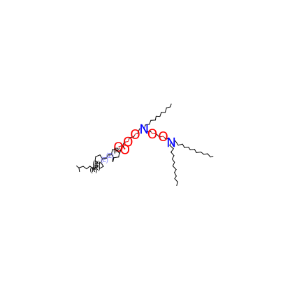 C=C1CC[C@@H](OC(=O)COCCOCCN(CCCCCCCCCCC)CCOCCOCCN(CCCCCCCCCCCCC)CCCCCCCCCCCCC)C/C1=C/C=C1\CCC[C@@]2(C)C1CC[C@@H]2[C@H](C)CCCC(C)C